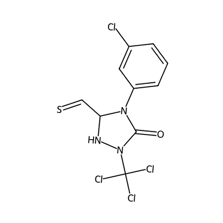 O=C1N(c2cccc(Cl)c2)C(C=S)NN1C(Cl)(Cl)Cl